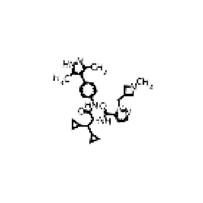 Cc1n[nH]c(C)c1-c1ccc(NC(=O)[C@@H](NC(=O)c2ccnn2CC2CN(C)C2)C(C2CC2)C2CC2)cc1